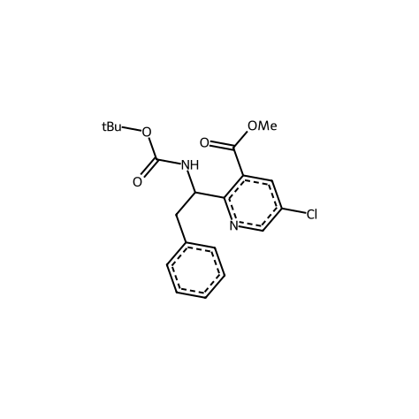 COC(=O)c1cc(Cl)cnc1C(Cc1ccccc1)NC(=O)OC(C)(C)C